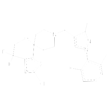 Cc1cccc(F)c1-n1cc(CN2CCC3(CC2)OCC(F)(F)c2cc(Cl)sc23)c(C)n1